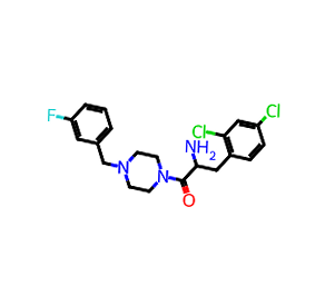 NC(Cc1ccc(Cl)cc1Cl)C(=O)N1CCN(Cc2cccc(F)c2)CC1